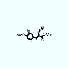 COC(=O)/C(=C/c1ccc(OC)c(F)c1)N=[N+]=[N-]